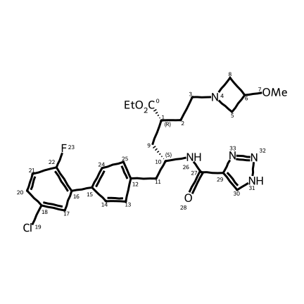 CCOC(=O)[C@H](CCN1CC(OC)C1)C[C@@H](Cc1ccc(-c2cc(Cl)ccc2F)cc1)NC(=O)c1c[nH]nn1